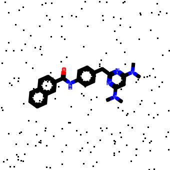 CN(C)c1[c]c(N(C)C)nc(Cc2ccc(NC(=O)c3ccc4ccccc4c3)cc2)n1